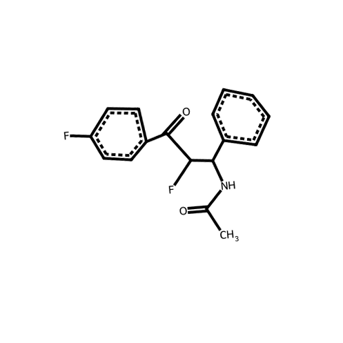 CC(=O)NC(c1ccccc1)C(F)C(=O)c1ccc(F)cc1